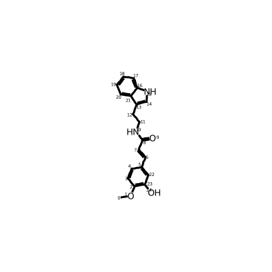 COc1ccc(/C=C/C(=O)NCCc2c[nH]c3ccccc23)cc1O